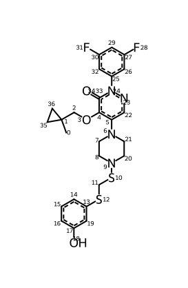 CC1(COc2c(N3CCN(SCSc4cccc(O)c4)CC3)cnn(-c3cc(F)cc(F)c3)c2=O)CC1